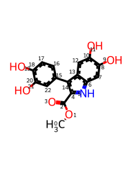 COC(=O)c1[nH]c2cc(O)c(O)cc2c1-c1ccc(O)c(O)c1